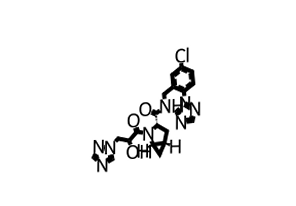 O=C(NCc1cc(Cl)ccc1-n1cncn1)[C@@H]1C[C@@H]2C[C@@H]2N1C(=O)C(O)Cn1cncn1